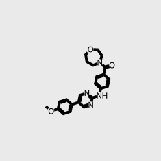 COc1ccc(-c2cnc(Nc3ccc(C(=O)N4CCCOCC4)cc3)nc2)cc1